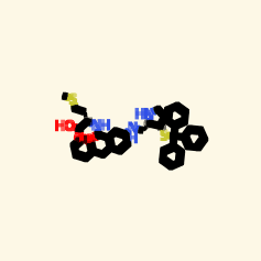 CSCC[C@H](NC(=O)c1cc(NC[C@@H]2NCC[C@@H]2SC(c2ccccc2)(c2ccccc2)c2ccccc2)ccc1Cc1ccccc1)C(=O)O